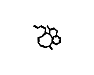 C=C\C=C/C1=C\C=C/C=C\C(=C)c2cccc3c2C1C(C)=CC3